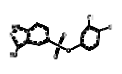 O=S(=O)(Oc1ccc(Cl)c(Cl)c1)c1ccc2[nH]nc(O)c2c1